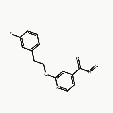 O=NC(=O)c1ccbc(OCCc2cccc(F)c2)c1